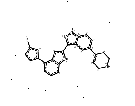 Fc1ccc(-c2cccc3[nH]c(-c4n[nH]c5ccc(C6=CCNCC6)cc45)cc23)s1